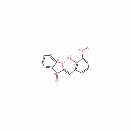 COc1cccc(/C=C2\Oc3ccccc3C2=O)c1O